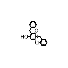 Cc1cc(O)c(Cc2ccccc2)c(=O)n1Cc1ccccc1